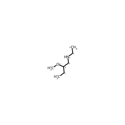 CCNCC(CC)OC